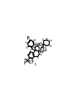 CC(F)(c1ccc2c(c1)CC[C@H]1N(C(=O)C3(O)CCCCC3)CC[C@@]21Cc1ccc(F)cc1)C(F)(F)F